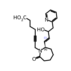 O=C(O)CCCC#CCN1C(=O)CCCC[C@@H]1/C=C/C(O)Cc1ccccn1